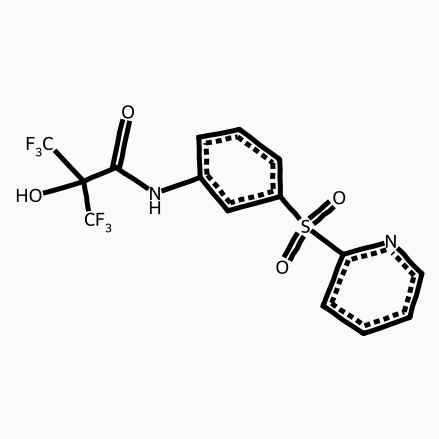 O=C(Nc1cccc(S(=O)(=O)c2ccccn2)c1)C(O)(C(F)(F)F)C(F)(F)F